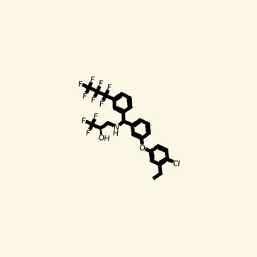 CCc1cc(Oc2cccc(C(NC[C@@H](O)C(F)(F)F)c3cccc(C(F)(F)C(F)(F)C(F)(F)F)c3)c2)ccc1Cl